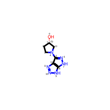 O[C@H]1CCN(c2n[nH]c3[nH]nnc23)C1